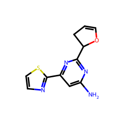 Nc1cc(-c2nccs2)nc(C2CC=CO2)n1